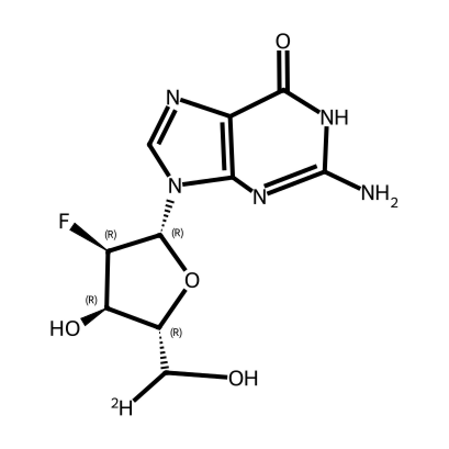 [2H]C(O)[C@H]1O[C@@H](n2cnc3c(=O)[nH]c(N)nc32)[C@H](F)[C@@H]1O